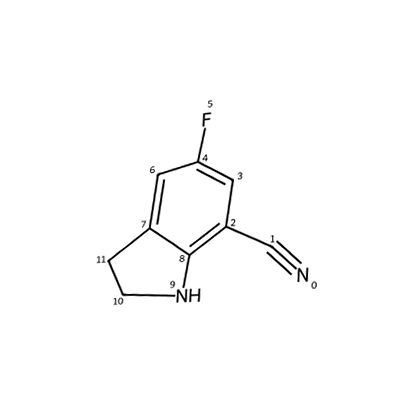 N#Cc1cc(F)cc2c1NCC2